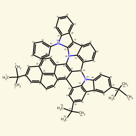 CC(C)(C)c1cc2ccc3c4c5c(c6ccc(c1)c2c36)-n1c2c(cccc2c2c3ccccc3n(-c3ccccc3)c21)B5n1c2ccc(C(C)(C)C)cc2c2cc(C(C)(C)C)cc-4c21